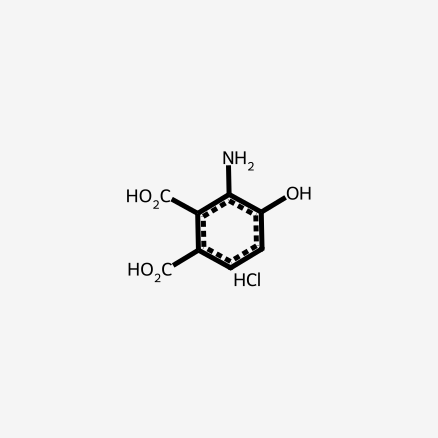 Cl.Nc1c(O)ccc(C(=O)O)c1C(=O)O